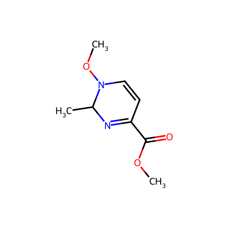 COC(=O)C1=NC(C)N(OC)C=C1